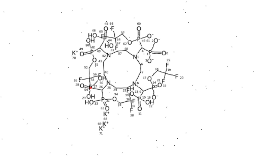 O=P([O-])([O-])C(N1CCN(C(P(=O)(O)O)P(=O)([O-])OCC(F)(F)F)CCN(C(P(=O)(O)O)P(=O)(O)OCC(F)(F)F)CCN(C(P(=O)(O)O)P(=O)(O)OCC(F)(F)F)CC1)P(=O)([O-])OCC(F)(F)F.[K+].[K+].[K+].[K+]